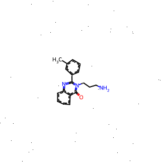 Cc1cccc(-c2nc3ccccc3c(=O)n2CCCN)c1